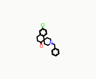 O=C1CCc2cc(Cl)ccc2C12CCN(Cc1ccccc1)CC2